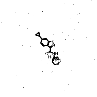 O=C(N[C@H]1CN2CCC1CC2)c1nsc2cc(C3CC3)ccc12